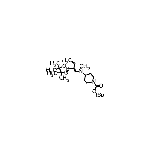 C=C/C(=C\N(C)C1CCN(C(=O)OC(C)(C)C)CC1)B1OC(C)(C)C(C)(C)O1